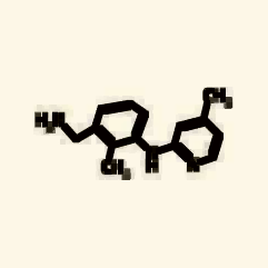 Cc1ccnc(Nc2cccc(CN)c2C)c1